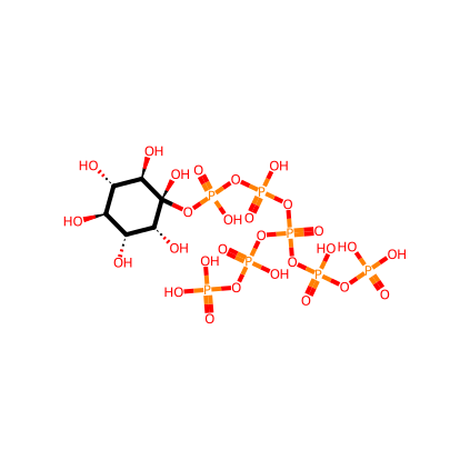 O=P(O)(O)OP(=O)(O)OP(=O)(OP(=O)(O)OP(=O)(O)O)OP(=O)(O)OP(=O)(O)O[C@]1(O)[C@H](O)[C@H](O)[C@@H](O)[C@H](O)[C@H]1O